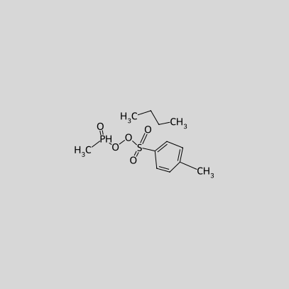 CCCC.Cc1ccc(S(=O)(=O)OO[PH](C)=O)cc1